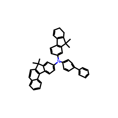 CC1(C)C2=C(C=CCC2)c2ccc(N(c3ccc(-c4ccccc4)cc3)c3ccc4c(c3)C(C)(C)c3ccc5ccccc5c3-4)cc21